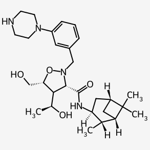 C[C@@H]1[C@@H](NC(=O)[C@@H]2C([C@H](C)O)[C@H](CO)ON2Cc2cccc(N3CCNCC3)c2)C[C@H]2C[C@@H]1C2(C)C